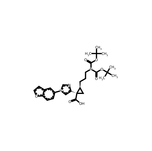 CC(C)(C)OC(=O)N(CCC[C@H]1C[C@]1(C(=O)O)c1cn(-c2ccc3occc3c2)cn1)C(=O)OC(C)(C)C